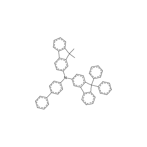 CC1(C)c2ccccc2-c2ccc(N(c3ccc(-c4ccccc4)cc3)c3ccc4c(c3)-c3ccccc3C4(c3ccccc3)c3ccccc3)cc21